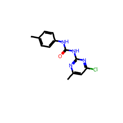 Cc1ccc(NC(=O)Nc2nc(C)cc(Cl)n2)cc1